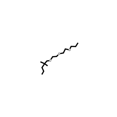 CCCOCCOCCOCC(C)(C)CCC